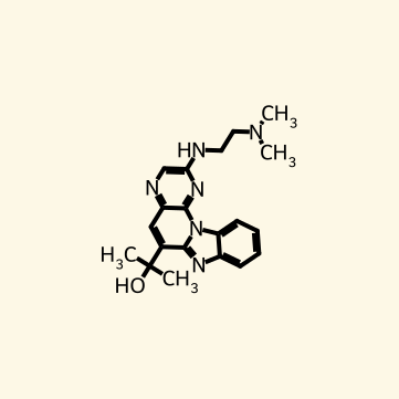 CN(C)CCNc1cnc2cc(C(C)(C)O)c3nc4ccccc4n3c2n1